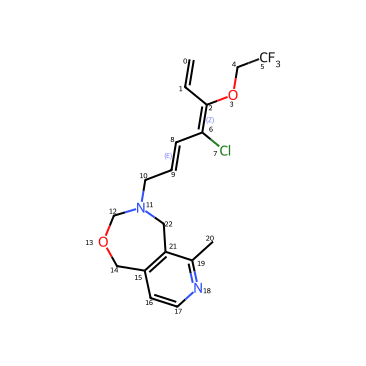 C=C/C(OCC(F)(F)F)=C(Cl)\C=C\CN1COCc2ccnc(C)c2C1